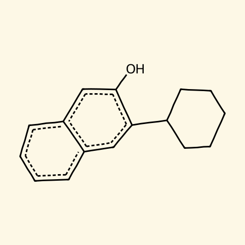 Oc1cc2ccccc2cc1C1CCCCC1